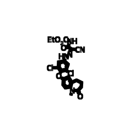 CCOC(=O)NC(=O)C(C#N)=NNc1cc(Cl)c(Oc2ccc3c(c2)CCCC(=O)N3C)c(Cl)c1